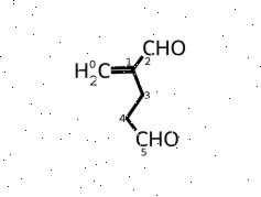 C=C(C=O)CCC=O